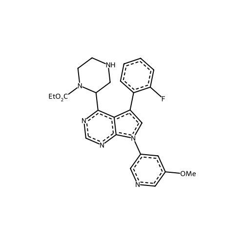 CCOC(=O)N1CCNCC1c1ncnc2c1c(-c1ccccc1F)cn2-c1cncc(OC)c1